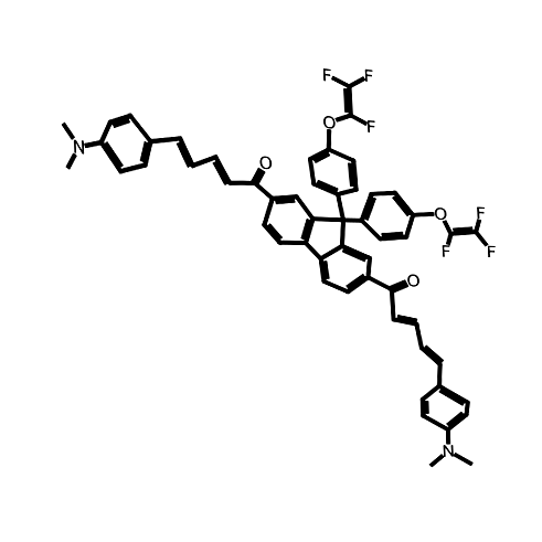 CN(C)c1ccc(C=CC=CC(=O)c2ccc3c(c2)C(c2ccc(OC(F)=C(F)F)cc2)(c2ccc(OC(F)=C(F)F)cc2)c2cc(C(=O)C=CC=Cc4ccc(N(C)C)cc4)ccc2-3)cc1